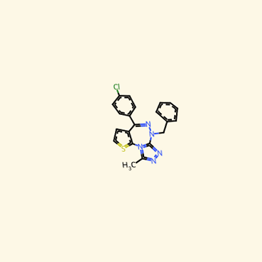 Cc1nnc2n1-c1sccc1C(c1ccc(Cl)cc1)=NN2Cc1ccccc1